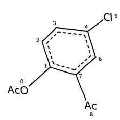 CC(=O)Oc1ccc(Cl)cc1C(C)=O